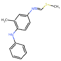 CS/C=N/c1ccc(Nc2ccccc2)c(C)c1